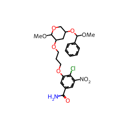 COC(OC1COC(OC)C(OCCCOc2cc(C(N)=O)cc([N+](=O)[O-])c2Cl)C1)c1ccccc1